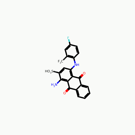 Nc1c(S(=O)(=O)O)cc(Nc2ccc(F)cc2C(F)(F)F)c2c1C(=O)c1ccccc1C2=O